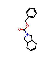 O=C(OCc1ccccc1)N1CC2CC=CCC2C1